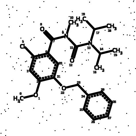 COc1cc(Cl)c(C(=O)N(C)C(=O)N(C(C)C)C(C)C)cc1OCc1ccccc1